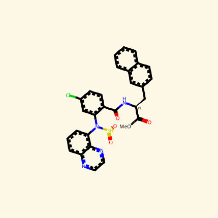 COC(=O)[C@H](Cc1ccc2ccccc2c1)NC(=O)c1ccc(Cl)cc1N(c1cccc2nccnc12)[SH](=O)=O